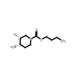 CCCCOC(=O)N1CC[C@H](N)[C@H](F)C1